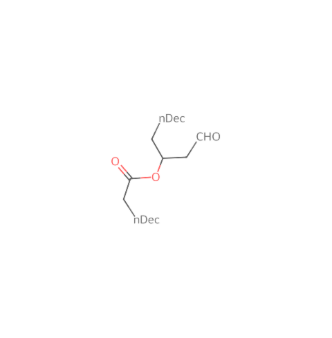 CCCCCCCCCCCC(=O)OC(CC=O)CCCCCCCCCCC